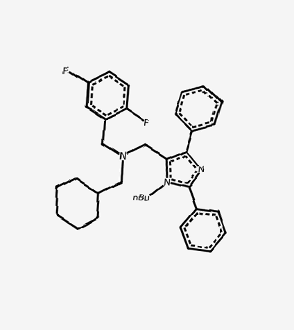 CCCCn1c(-c2ccccc2)nc(-c2ccccc2)c1CN(Cc1cc(F)ccc1F)CC1CCCCC1